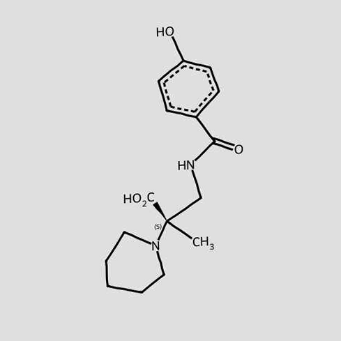 C[C@](CNC(=O)c1ccc(O)cc1)(C(=O)O)N1CCCCC1